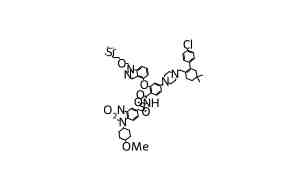 CO[C@H]1CC[C@H](N(C)c2ccc(S(=O)(=O)NC(=O)c3ccc(N4CCN(CC5=C(c6ccc(Cl)cc6)CC(C)(C)CC5)CC4)cc3Oc3cccc4c3cnn4COCC[Si](C)(C)C)cc2[N+](=O)[O-])CC1